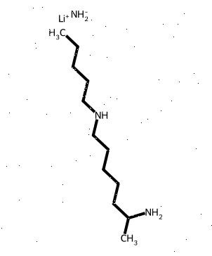 CCCCCNCCCCCC(C)N.[Li+].[NH2-]